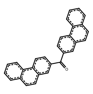 O=C(c1ccc2c(ccc3ccccc32)c1)c1ccc2c(ccc3ccccc32)c1